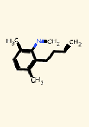 C=CCCc1c(C)ccc(C)c1N=C